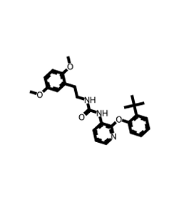 COc1ccc(OC)c(CCNC(=O)Nc2cccnc2Oc2ccccc2C(C)(C)C)c1